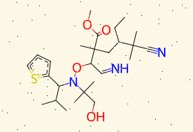 CCC(CC(C)(C(=O)OC)C(C=N)ON(C(c1cccs1)C(C)C)C(C)(C)CO)C(C)(C)C#N